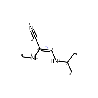 CN/C(C#N)=C\NC(C)C